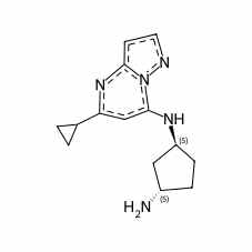 N[C@H]1CC[C@H](Nc2cc(C3CC3)nc3ccnn23)C1